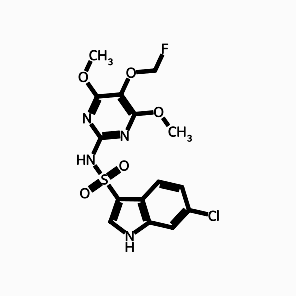 COc1nc(NS(=O)(=O)c2c[nH]c3cc(Cl)ccc23)nc(OC)c1OCF